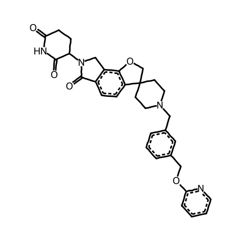 O=C1CCC(N2Cc3c(ccc4c3OCC43CCN(Cc4cccc(COc5ccccn5)c4)CC3)C2=O)C(=O)N1